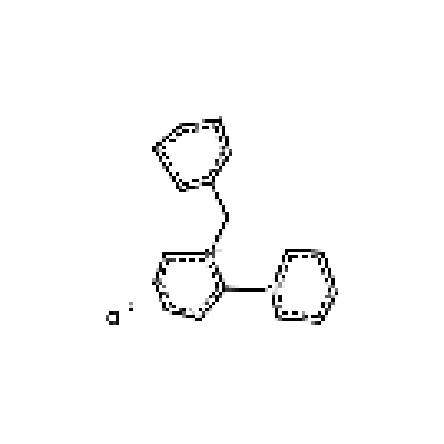 [Cl-].[Cl-].c1ccc(C[n+]2ccccc2-[n+]2ccccc2)cc1